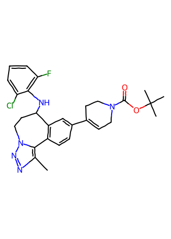 Cc1nnn2c1-c1ccc(C3=CCN(C(=O)OC(C)(C)C)CC3)cc1C(Nc1c(F)cccc1Cl)CC2